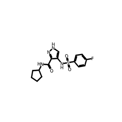 O=C(NC1CCCC1)c1n[nH]cc1NS(=O)(=O)c1ccc(F)cc1